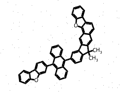 CC1(C)c2ccc(-c3c4ccccc4c(-c4ccc5c(c4)oc4ccccc45)c4ccccc34)cc2-c2cc3c(ccc4c5ccccc5oc34)cc21